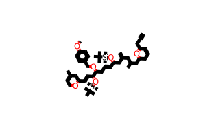 C#CCC1C=CCC(CC(C)CC(=C)CC(/C=C/CC(OCc2ccc(OC)cc2)C(/C=C/C2CC(C)=CCO2)O[Si](C)(C)C(C)(C)C)O[Si](C)(C)C(C)(C)C)O1